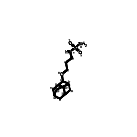 NS(=O)(=O)NCCCOC1C2CC3CC(C2)CC1C3